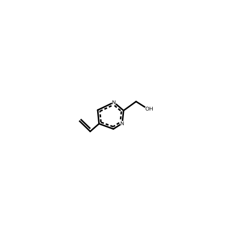 C=Cc1cnc(CO)nc1